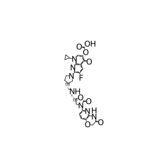 O=C1COc2ccc(N3C[C@H](CNC[C@@H]4CCN(c5nc6c(cc5F)c(=O)c(OC(=O)O)cn6C5CC5)C4)OC3=O)nc2N1